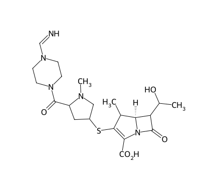 CC(O)C1C(=O)N2C(C(=O)O)=C(SC3CC(C(=O)N4CCN(C=N)CC4)N(C)C3)C(C)[C@@H]12